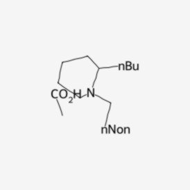 CC(=O)O.CCCCCCCCCCN1CCCCC1CCCC